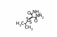 CC(C)C1SC(=C(C(N)=O)C(N)=O)S1